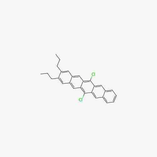 CCCc1cc2cc3c(Cl)c4cc5ccccc5cc4c(Cl)c3cc2cc1CCC